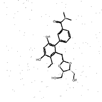 CCc1c(O)cc(O)c(-c2cccc(C(=O)N(C)C)c2)c1CC1O[C@H](CO)[C@@H](CO)O1